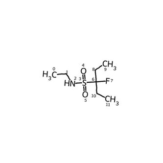 CCNS(=O)(=O)C(F)(CC)CC